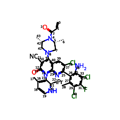 C=CC(=O)N1[C@H](C)CN(c2c(C#N)c(=O)n(C3=C(C)C=CN[C@@H]3C(C)C)c3nc(-c4c(C)c(Cl)c(F)c(Cl)c4N)c(Cl)cc23)C[C@@H]1C